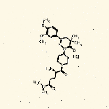 COc1ccc(C2=NN(C3CCN(C(=O)[C@H](N)CCC(=O)N(C)C)CC3)C(=O)C(C)(C)C2)cc1OC.Cl